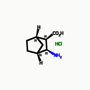 Cl.N[C@H]1[C@@H]2CC[C@@H](C2)[C@H]1C(=O)O